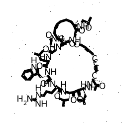 CC(=O)CN[C@]1(C)CCC/C=C\CCC[C@@]2(CCCC=CCCCCCC[C@@](C)(C(C)=O)NN[C@@H](CC(C)C)C(=O)C(=O)[C@H](CC(C)C)NC(=O)C(CCCNC(=N)N)NC(=O)[C@H](Cc3c[nH]c4ccccc34)NC(=O)C(CC(C)C)NC(=O)[C@H](CC(N)=O)NC2=O)NCC1=O